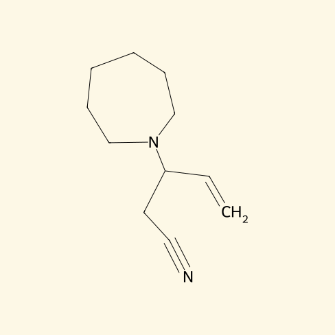 C=CC(CC#N)N1CCCCCC1